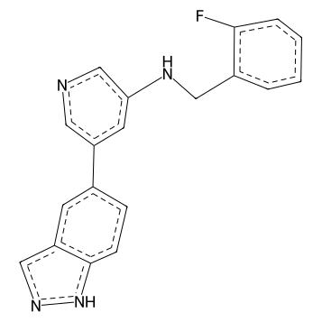 Fc1ccccc1CNc1cncc(-c2ccc3[nH]ncc3c2)c1